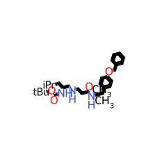 CC(C)CC(CNCCC(=O)NC(C)(C)Cc1ccc(OCc2ccccc2)cc1)NC(=O)OC(C)(C)C